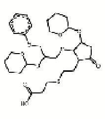 O=C(O)CCSCCC1C(=O)CC(OC2CCCCO2)C1OCC(COc1ccccc1)OC1CCCCO1